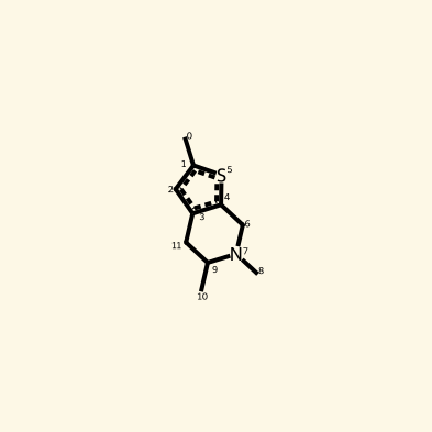 Cc1cc2c(s1)CN(C)C(C)C2